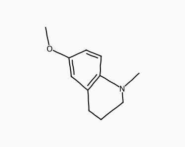 COc1ccc2c(c1)CCCN2C